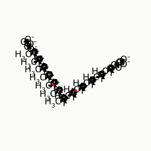 CC[n+]1ccccc1F.CC[n+]1ccccc1F.CC[n+]1ccccc1F.CC[n+]1ccccc1F.CC[n+]1ccccc1F.CC[n+]1ccccc1F.CC[n+]1ccccc1F.CC[n+]1ccccc1F.CC[n+]1ccccc1F.CC[n+]1ccccc1F.CC[n+]1ccccc1F.CC[n+]1ccccc1F.[O-]B([O-])[O-].[O-]B([O-])[O-].[O-]B([O-])[O-].[O-]B([O-])[O-]